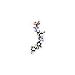 CCc1cc(CN2CC(C(=O)OC)C2)sc1-c1noc(-c2ccc(Oc3cccc(F)c3)c(F)c2)n1